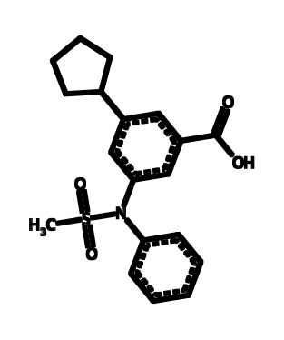 CS(=O)(=O)N(c1ccccc1)c1cc(C(=O)O)cc(C2CCCC2)c1